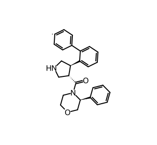 O=C([C@@H]1CNC[C@H]1c1ccccc1-c1cc[c]cc1)N1CCOC[C@@H]1c1ccccc1